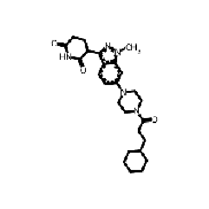 Cn1nc(C2CCC(=O)NC2=O)c2ccc(N3CCN(C(=O)CCC4CCCCC4)CC3)cc21